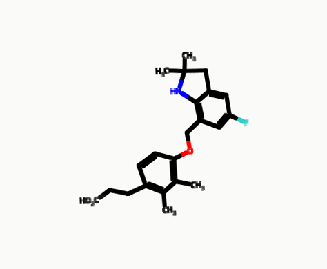 Cc1c(CCC(=O)O)ccc(OCc2cc(F)cc3c2NC(C)(C)C3)c1C